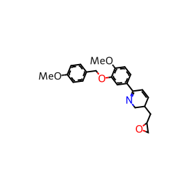 COc1ccc(COc2cc(C3=NCC(CC4CO4)C=C3)ccc2OC)cc1